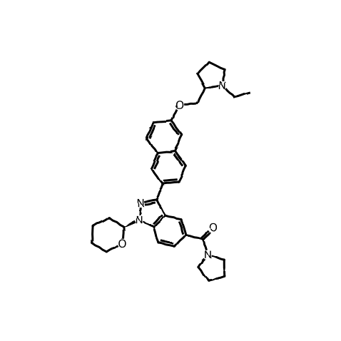 CCN1CCCC1COc1ccc2cc(-c3nn([C@@H]4CCCCO4)c4ccc(C(=O)N5CCCC5)cc34)ccc2c1